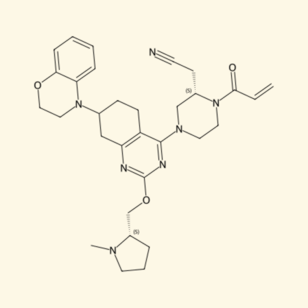 C=CC(=O)N1CCN(c2nc(OC[C@@H]3CCCN3C)nc3c2CCC(N2CCOc4ccccc42)C3)C[C@@H]1CC#N